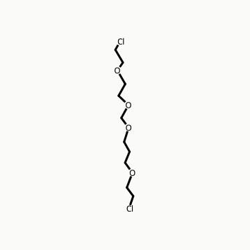 ClCCOCCCOCOCCOCCCl